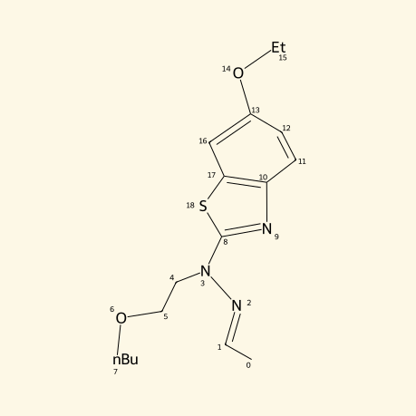 C/C=N/N(CCOCCCC)c1nc2ccc(OCC)cc2s1